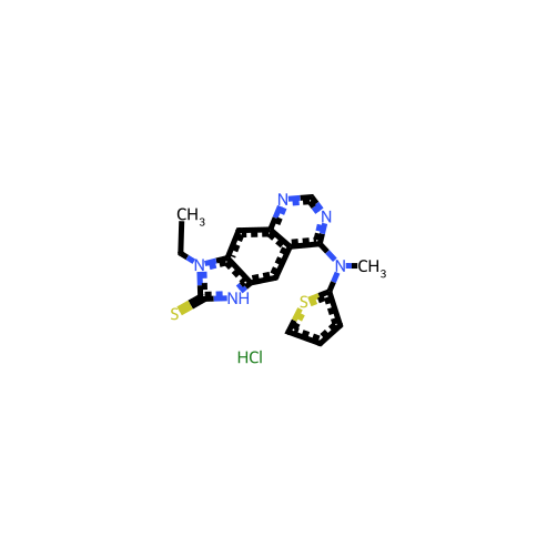 CCn1c(=S)[nH]c2cc3c(N(C)c4cccs4)ncnc3cc21.Cl